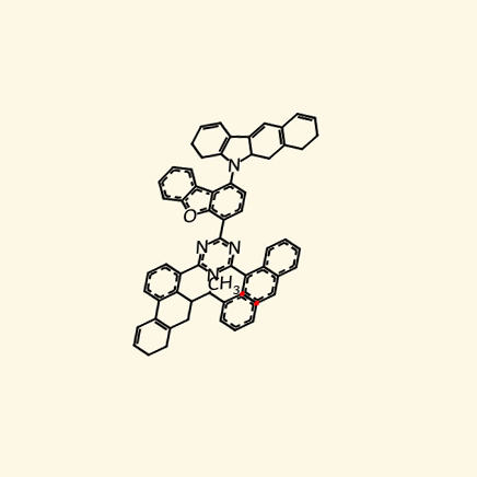 CC(c1ccccc1)C1CC2=C(C=CCC2)c2cccc(-c3nc(-c4cccc5ccccc45)nc(-c4ccc(N5C6=C(C=CCC6)C6=CC7=C(CCC=C7)CC65)c5c4oc4ccccc45)n3)c21